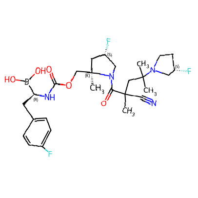 CC(C#N)(CC(C)(C)N1CC[C@H](F)C1)C(=O)N1C[C@@H](F)C[C@]1(C)COC(=O)N[C@@H](Cc1ccc(F)cc1)B(O)O